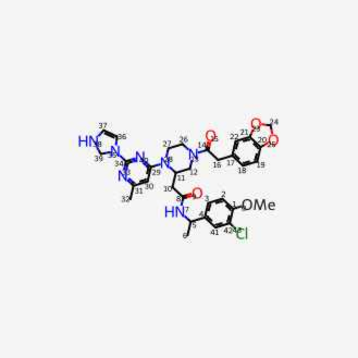 COc1ccc(C(C)NC(=O)CC2CN(C(=O)Cc3ccc4c(c3)OCO4)CCN2c2cc(C)nc(N3C=CNC3)n2)cc1Cl